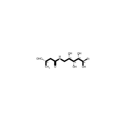 CC[C@@H](O)[C@@H](O)[C@H](O)[C@@H](O)CNC(=O)C[C@H](C)C=O